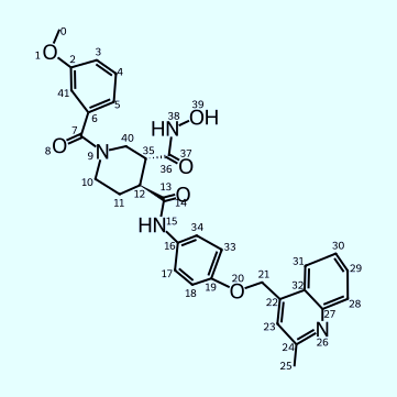 COc1cccc(C(=O)N2CC[C@H](C(=O)Nc3ccc(OCc4cc(C)nc5ccccc45)cc3)[C@@H](C(=O)NO)C2)c1